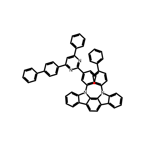 c1ccc(-c2ccc(-c3cc(-c4ccccc4)nc(-c4cccc(-n5c6ccccc6c6ccc7c8ccccc8n(-c8ccc(-c9ccccc9)cc8)c7c65)c4)n3)cc2)cc1